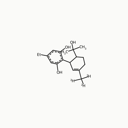 [2H]C([2H])([2H])C1=CC(c2c(O)cc(CC)cc2O)C(C(C)(C)O)CC1